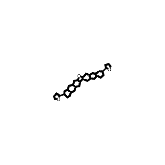 c1coc(-c2ccc3cc4cc5c(cc4cc3c2)oc2cc3cc4cc(-c6ccco6)ccc4cc3cc25)c1